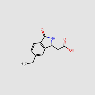 CCc1ccc2c(c1)C(CC(=O)O)NC2=O